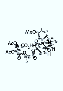 COc1ccc2c3c1O[C@@H]1C(OC(=O)[C@H](C)OC(=O)[C@H](OC(C)=O)[C@@H](OC(C)=O)C(=O)O)=CC[C@]4(O)[C@H](C2)N(C)CC[C@@]314